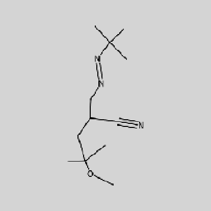 COC(C)(C)CC(C#N)CN=NC(C)(C)C